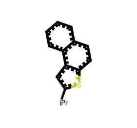 CC(C)c1cc2c(ccc3ccccc32)s1